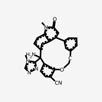 Cn1cnnc1C1(N)c2ccc(C#N)c(c2)OCCc2cccc(c2)-c2cc(=O)n(C)c3ccc1cc23